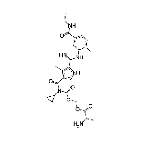 CCNC(=O)c1ccc(C)c(NC(=N)c2[nH]cc(C(=O)N(C(=O)OCOC(=O)C(C)N)C3CC3)c2C)c1